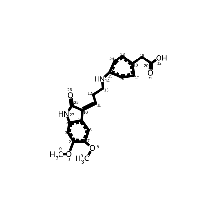 COc1cc2c(cc1OC)C(=CCCNc1ccc(CC(=O)O)cc1)C(=O)N2